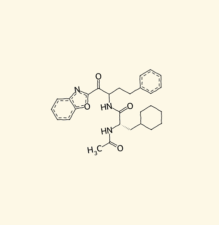 CC(=O)N[C@@H](CC1CCCCC1)C(=O)NC(CCc1ccccc1)C(=O)c1nc2ccccc2o1